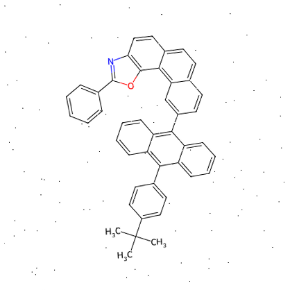 CC(C)(C)c1ccc(-c2c3ccccc3c(-c3ccc4ccc5ccc6nc(-c7ccccc7)oc6c5c4c3)c3ccccc23)cc1